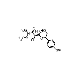 C=NN(CCCC)C(=O)/C(Cl)=C(\C)OC(CO)c1ccc(C(C)(C)C)cc1